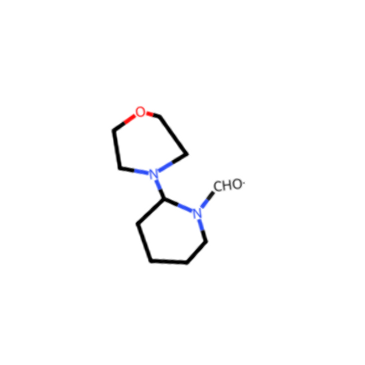 O=[C]N1CCCCC1N1CCOCC1